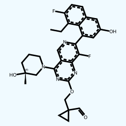 CCc1c(F)ccc2cc(O)cc(-c3ncc4c(N5CCC[C@@](C)(O)C5)nc(OCC5(C=O)CC5)nc4c3F)c12